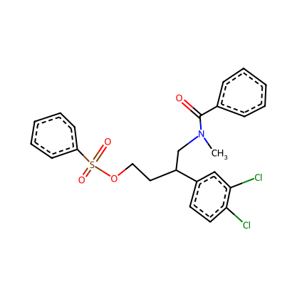 CN(CC(CCOS(=O)(=O)c1ccccc1)c1ccc(Cl)c(Cl)c1)C(=O)c1ccccc1